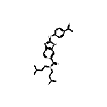 CC(=O)c1ccc(Nc2nc3ccc(C(=O)N(CCC(C)C)CCC(C)C)cc3[nH]2)cc1